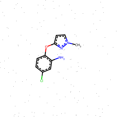 Cn1ccc(Oc2ccc(Cl)cc2N)n1